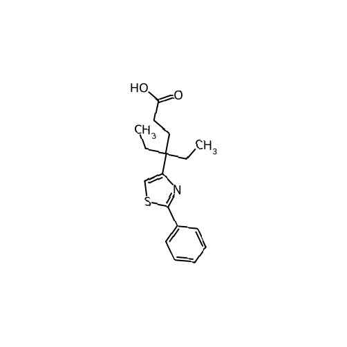 CCC(CC)(CCC(=O)O)c1csc(-c2ccccc2)n1